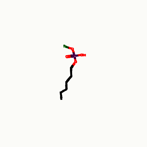 CCCCCCOP(=O)(O)OF